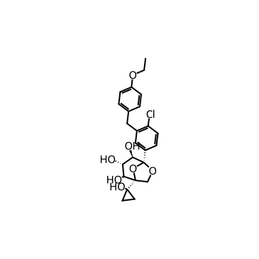 CCOc1ccc(Cc2cc([C@]34OC[C@](C5(O)CC5)(O3)[C@@H](O)[C@H](O)[C@H]4O)ccc2Cl)cc1